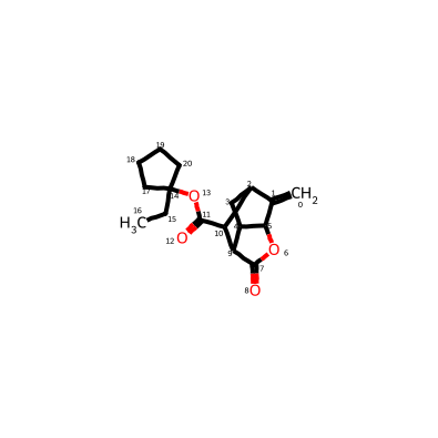 C=C1C2CC3C1OC(=O)C3C2C(=O)OC1(CC)CCCC1